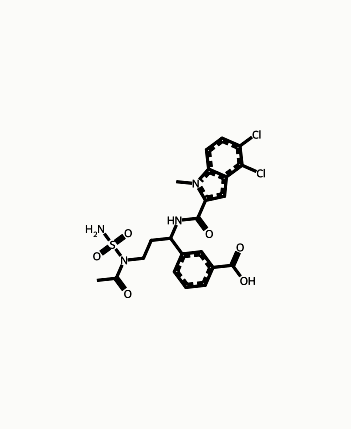 CC(=O)N(CCC(NC(=O)c1cc2c(Cl)c(Cl)ccc2n1C)c1cccc(C(=O)O)c1)S(N)(=O)=O